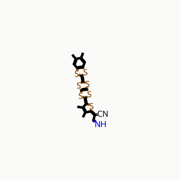 Cc1cc2c(cc1C)SC(=C1SC3=C(S1)SC(=c1s/c(=C(\C#N)C=N)c(C)c1C)S3)S2